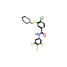 O=C(Nc1cc(F)c(F)c(F)c1)c1ccc(Cl)c(SCC2CCCCC2)c1